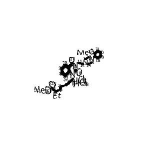 CCC(CCC#CCn1c(=O)n(CCN2CCN(c3ccccc3OC)CC2)c(=O)c2ccccc21)C(=O)OC.Cl.Cl